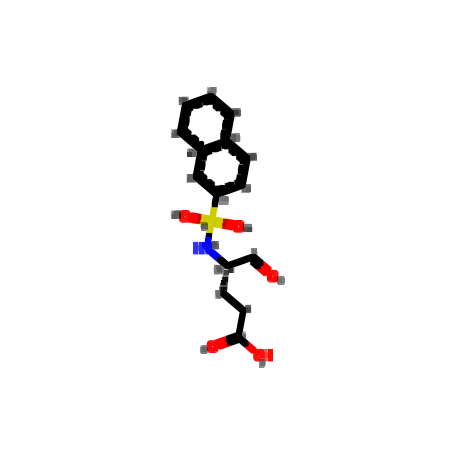 O=[C][C@H](CCC(=O)O)NS(=O)(=O)c1ccc2ccccc2c1